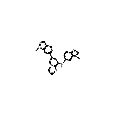 Cn1cnc2ccc(Nc3nc(-c4ccc5cnn(C)c5c4)cn4ccnc34)cc21